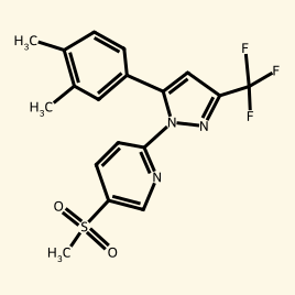 Cc1ccc(-c2cc(C(F)(F)F)nn2-c2ccc(S(C)(=O)=O)cn2)cc1C